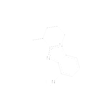 CC1CCCn2c1nc1c(N)cccc12